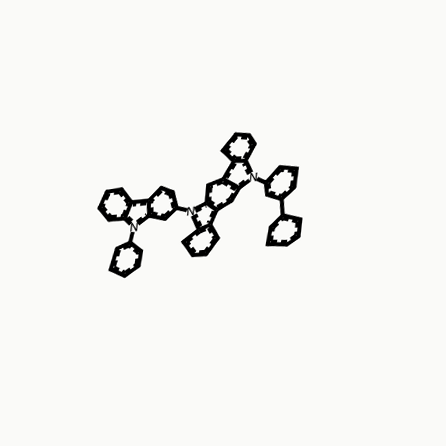 c1ccc(-c2cccc(-n3c4ccccc4c4cc5c(cc43)c3ccccc3n5-c3ccc4c5ccccc5n(-c5ccccc5)c4c3)c2)cc1